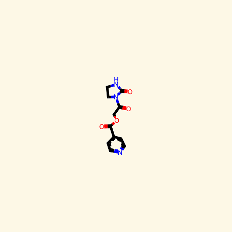 O=C(OCC(=O)N1CCNC1=O)c1ccncc1